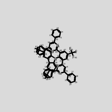 CC(C)(C)c1ccc2c(c1)c1cc(C(C)(C)C)ccc1n2-c1c(-c2cc(-c3ccccc3)nc(-c3ccccc3)n2)cc(C(F)(F)F)cc1-c1nc(-c2ccccc2)cc(-c2ccccc2)n1